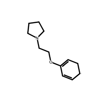 [CH]1C=CC(OCCN2CCCC2)=CC1